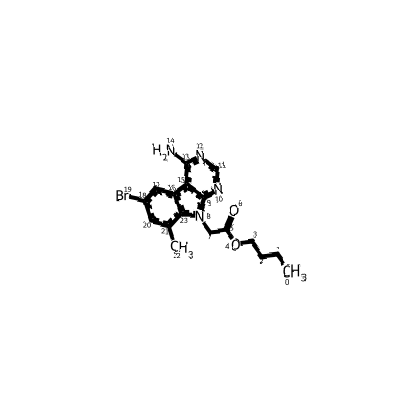 CCCCOC(=O)Cn1c2ncnc(N)c2c2cc(Br)cc(C)c21